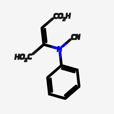 N#CN(/C(=C\C(=O)O)C(=O)O)c1ccccc1